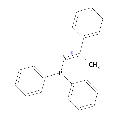 C/C(=N\P(c1ccccc1)c1ccccc1)c1ccccc1